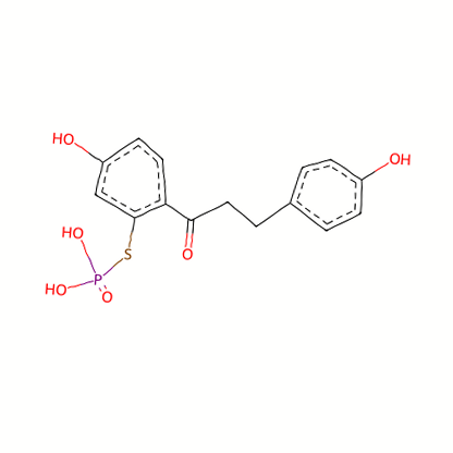 O=C(CCc1ccc(O)cc1)c1ccc(O)cc1SP(=O)(O)O